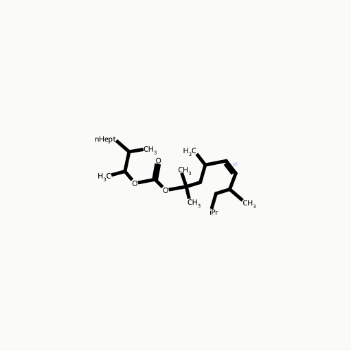 CCCCCCCC(C)C(C)OC(=O)OC(C)(C)CC(C)/C=C\C(C)CC(C)C